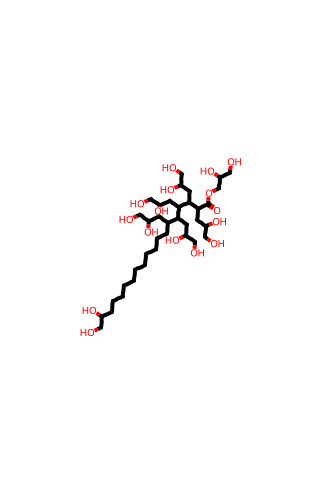 O=C(OCC(O)CO)C(CC(O)CO)C(CC(O)CO)C(CC(O)CO)C(CC(O)CO)C(CCCCCCCCCCCC(O)CO)CC(O)CO